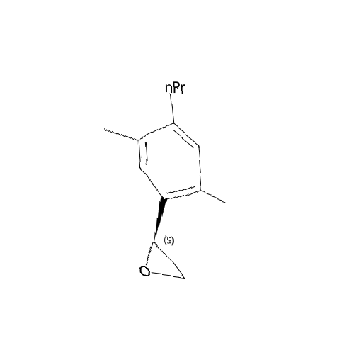 CCCc1cc(C)c([C@H]2CO2)cc1C